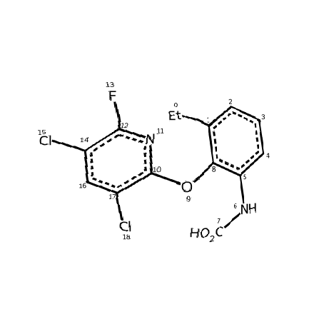 CCc1cccc(NC(=O)O)c1Oc1nc(F)c(Cl)cc1Cl